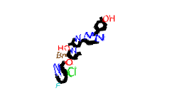 CC1=CC(OCc2ncc(F)cc2Cl)=C(Br)C(O)N1c1cc(-c2ccnc(C3CCC(C)(O)CC3)n2)ncc1C